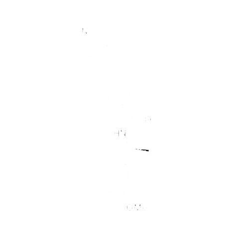 COc1cccc([C@H](C)NC(=O)c2ccc(-c3ccncc3)cc2)c1